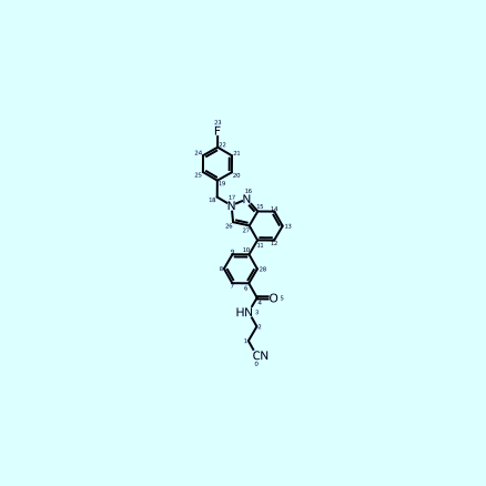 N#CCCNC(=O)c1cccc(-c2cccc3nn(Cc4ccc(F)cc4)cc23)c1